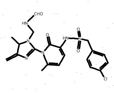 C=C1N=C(n2c(C)ccc(NS(=O)(=O)Cc3ccc(Cl)cc3)c2=O)N(CNC=O)C1C